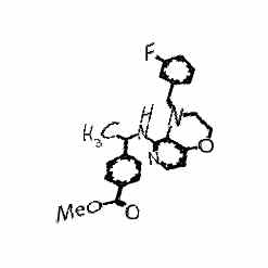 COC(=O)c1ccc(C(C)Nc2nccc3c2N(Cc2cccc(F)c2)CCO3)cc1